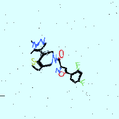 Cc1c([C@H]2CN(C(=O)c3cc(-c4ccc(F)cc4F)on3)Cc3ccsc32)cnn1C